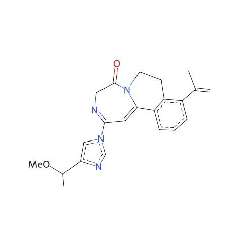 C=C(C)c1cccc2c1CCN1C(=O)CN=C(n3cnc(C(C)OC)c3)C=C21